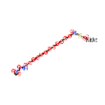 CNC(=O)OCCSSCCN(C)C(=O)CCOCCOCCOCCOCCOCCOCCOCCOCCOCCOCCOCCOCCNC(=O)CCN1C(=O)C=CC1=O